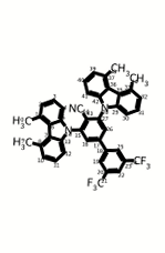 Cc1cccc2c1c1c(C)cccc1n2-c1cc(-c2cc(C(F)(F)F)cc(C(F)(F)F)c2)cc(-n2c3cccc(C)c3c3c(C)cccc32)c1C#N